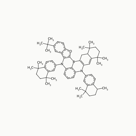 CC1CCC(C)(C)c2cc(N3C4=C(CC5C(=C4)C(C)(C)CCC5(C)C)B4c5oc6ccc(C(C)(C)C)cc6c5N(c5ccc6c(c5)C(C)(C)CCC6(C)C)c5cccc3c54)ccc21